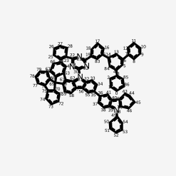 c1ccc(-c2cc(-c3ccccc3)cc(-c3cccc(-c4nc(-c5ccccc5)nc(-n5c6ccc(-c7ccc8c(c7)c7ccccc7n8-c7ccccc7)cc6c6ccc7c(c65)-c5ccccc5C75c6ccccc6-c6ccccc65)n4)c3)c2)cc1